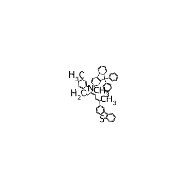 C=C/C(=C\C=C(/C)c1ccc2sc3ccccc3c2c1)N(C1=C[C@H](C)CC=C1)C1(C)C=CC2=C(C1)C(c1cc#ccc1)(c1ccccc1)C1C=CC=CC21